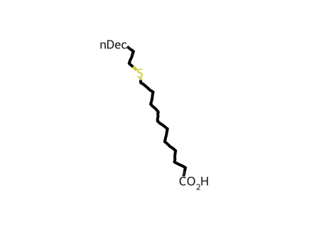 CCCCCCCCCCCCSCCCCCCCCCCC(=O)O